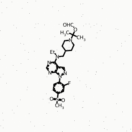 CCN(CC1CCN(C(C)(C)OC=O)CC1)c1ncnc2c1cnn2-c1ccc(S(C)(=O)=O)cc1F